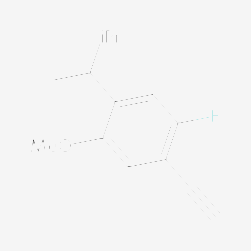 C#Cc1cc(OC)c(C(C)C(C)C)cc1F